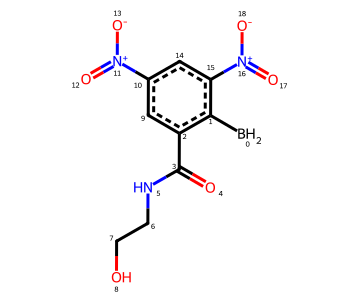 Bc1c(C(=O)NCCO)cc([N+](=O)[O-])cc1[N+](=O)[O-]